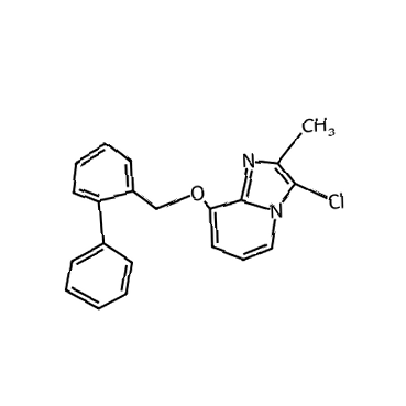 Cc1nc2c(OCc3ccccc3-c3ccccc3)cccn2c1Cl